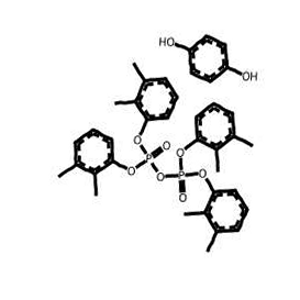 Cc1cccc(OP(=O)(Oc2cccc(C)c2C)OP(=O)(Oc2cccc(C)c2C)Oc2cccc(C)c2C)c1C.Oc1ccc(O)cc1